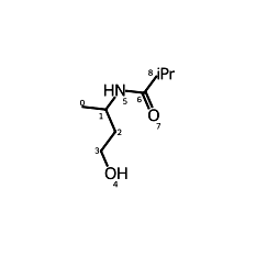 CC(CCO)NC(=O)C(C)C